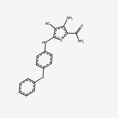 N#Cc1c(Nc2ccc(Oc3ccccc3)cc2)sc(C(N)=O)c1N